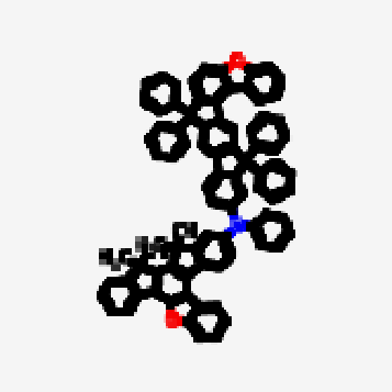 CC1(C)c2ccccc2-c2c1c1c(c3c2oc2ccccc23)-c2ccc(N(c3ccccc3)c3ccc4c(c3)C(c3ccccc3)(c3ccccc3)c3cc5c(cc3-4)C(c3ccccc3)(c3ccccc3)c3ccc4oc6ccccc6c4c3-5)cc2C1(C)C